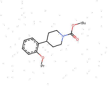 CC(C)Oc1ccccc1C1CCN(C(=O)OC(C)(C)C)CC1